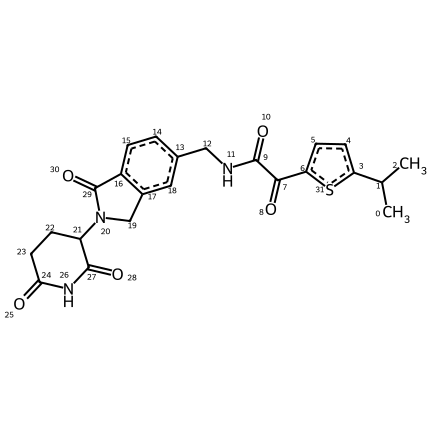 CC(C)c1ccc(C(=O)C(=O)NCc2ccc3c(c2)CN(C2CCC(=O)NC2=O)C3=O)s1